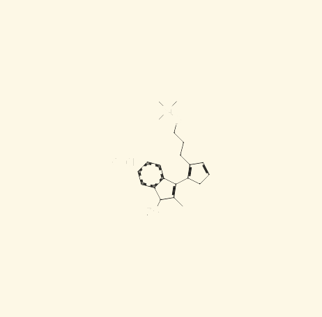 CC1=C(C2=C(CCCO[Si](C)(C)C)C=CC2)c2ccccc2[CH]1[Zr+2].[Cl-].[Cl-]